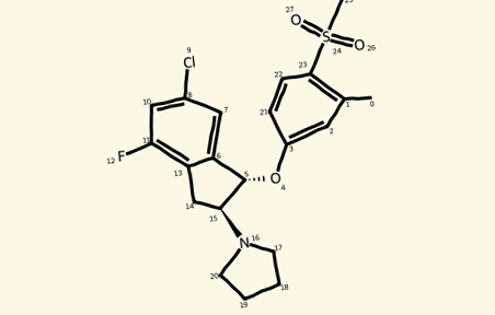 Cc1cc(O[C@H]2c3cc(Cl)cc(F)c3C[C@@H]2N2CCCC2)ccc1S(C)(=O)=O